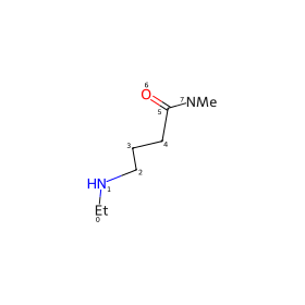 CCNCCCC(=O)NC